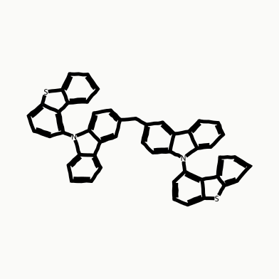 c1ccc2c(c1)sc1cccc(-n3c4ccccc4c4cc(Cc5ccc6c(c5)c5ccccc5n6-c5cccc6sc7ccccc7c56)ccc43)c12